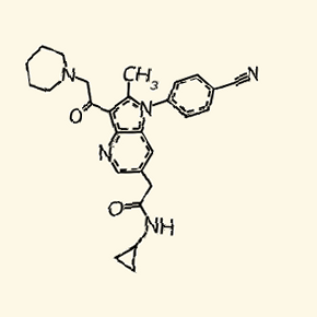 Cc1c(C(=O)CN2CCCCC2)c2ncc(CC(=O)NC3CC3)cc2n1-c1ccc(C#N)cc1